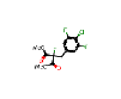 COC(=O)C(F)(Cc1cc(F)c(Cl)c(F)c1)C(=O)OC